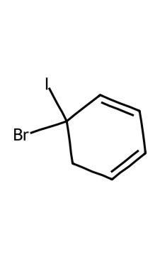 BrC1(I)C=CC=CC1